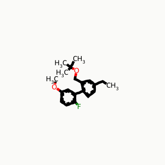 CCc1ccc(-c2cc(OC)ccc2F)c(COC(C)(C)C)c1